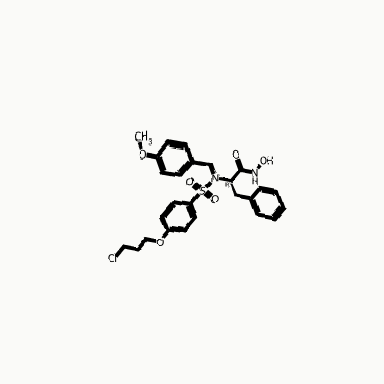 COc1ccc(CN([C@H](Cc2ccccc2)C(=O)NO)S(=O)(=O)c2ccc(OCCCCl)cc2)cc1